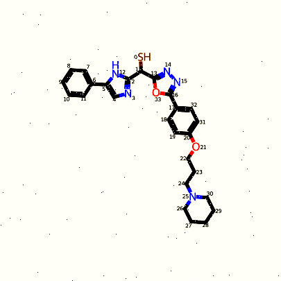 SC(c1ncc(-c2ccccc2)[nH]1)c1nnc(-c2ccc(OCCCN3CCCCC3)cc2)o1